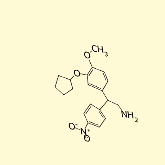 COc1ccc(C(CN)c2ccc([N+](=O)[O-])cc2)cc1OC1CCCC1